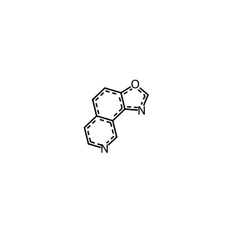 c1cc2ccc3ocnc3c2cn1